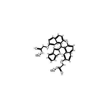 CC(C)(C)OC(=O)COc1ccc2ccc3c(c2c1)C(c1cc2ccccc2s1)c1c(ccc2ccc(OCC(=O)OC(C)(C)C)cc12)O3